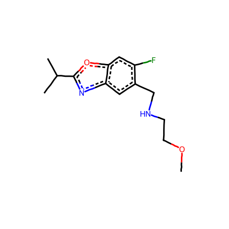 COCCNCc1cc2nc(C(C)C)oc2cc1F